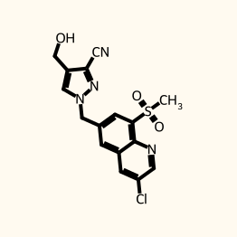 CS(=O)(=O)c1cc(Cn2cc(CO)c(C#N)n2)cc2cc(Cl)cnc12